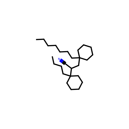 CCCCCCCC1(CC(C#N)C2(CCCC)CCCCC2)CCCCC1